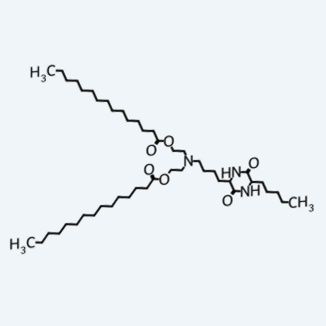 CCCCCCCCCCCCCCC(=O)OCCN(CCCCC1NC(=O)C(CCCCC)NC1=O)CCOC(=O)CCCCCCCCCCCCCC